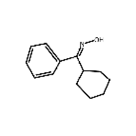 ON=C(c1ccccc1)C1CCCCC1